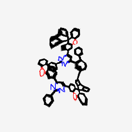 c1ccc(-c2nc(-c3ccc4c(c3)Oc3ccccc3C43c4ccccc4-c4cc(-c5ccc(-c6ccccc6)c(-c6cc(-c7ccc8c(c7)Oc7ccccc7C87c8ccccc8-c8ccccc87)nc(-c7ccccc7)n6)c5)ccc43)cc(-c3ccc4c(c3)oc3ccccc34)n2)cc1